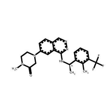 Cc1c([C@@H](C)Nc2nncc3ccc(N4CCN(C)C(=O)C4)cc23)cccc1C(F)(F)F